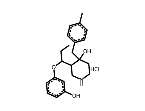 CCC(Oc1cccc(O)c1)C1CNCCC1(O)Cc1ccc(C)cc1.Cl